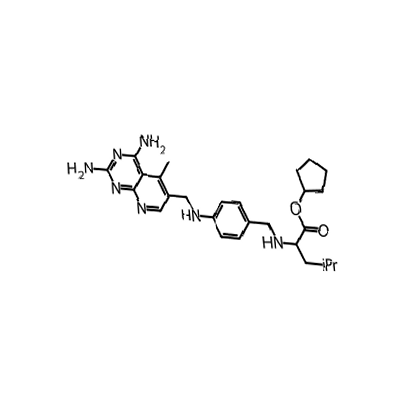 Cc1c(CNc2ccc(CNC(CC(C)C)C(=O)OC3CCCC3)cc2)cnc2nc(N)nc(N)c12